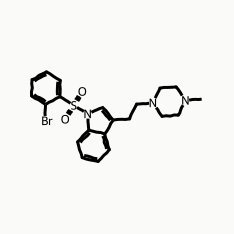 CN1CCN(CCc2cn(S(=O)(=O)c3ccccc3Br)c3ccccc23)CC1